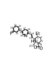 CC[C@@H]1CCC2(C)C(=O)O[C@H](C)[C@H]2[C@H]1/C=C/c1ccc(-c2cccc(F)c2)cn1